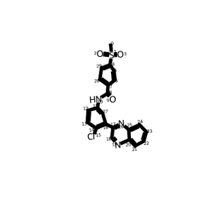 CS(=O)(=O)c1ccc(C(=O)Nc2ccc(Cl)c(-c3cnc4ccccc4n3)c2)cc1